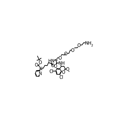 COC(=O)CC(NC(=O)[C@H](COCCOCCOCCOCCN)NC(=O)CCCCN(C(=O)OC(C)(C)C)c1ccccn1)c1cc(Cl)cc(Cl)c1